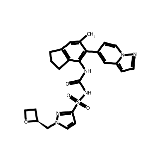 Cc1cc2c(c(NC(=O)NS(=O)(=O)c3ccn(C[C@@H]4CCO4)n3)c1-c1ccn3nccc3c1)CCC2